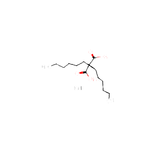 CCCCCCC(CCCCCC)(C(=O)O)C(=O)O.[KH]